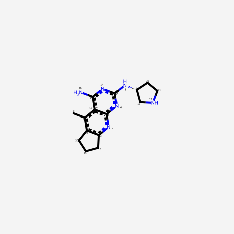 Cc1c2c(nc3nc(N[C@@H]4CCNC4)nc(N)c13)CCC2